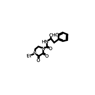 CCN1CCN(C(=O)NC([C]=O)Cc2ccccc2)C(=O)C1=O